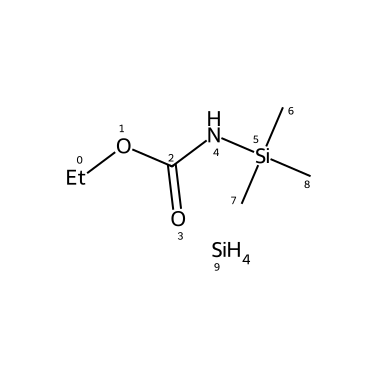 CCOC(=O)N[Si](C)(C)C.[SiH4]